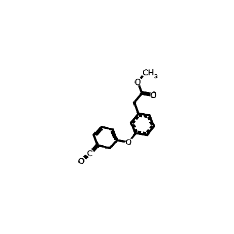 COC(=O)Cc1cccc(OC2=CC=CC(=C=O)C2)c1